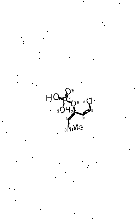 CN/C=C(\C=C/Cl)OP(=O)(O)O